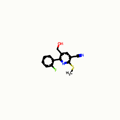 CSc1nc(-c2ccccc2F)c(CO)cc1C#N